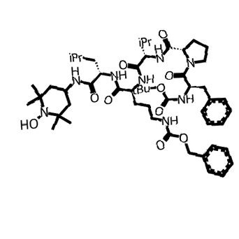 CC(C)C[C@H](NC(=O)[C@H](CCCNC(=O)OCc1ccccc1)NC(=O)[C@@H](NC(=O)[C@@H]1CCCN1C(=O)[C@@H](Cc1ccccc1)NC(=O)OC(C)(C)C)C(C)C)C(=O)NC1CC(C)(C)N(O)C(C)(C)C1